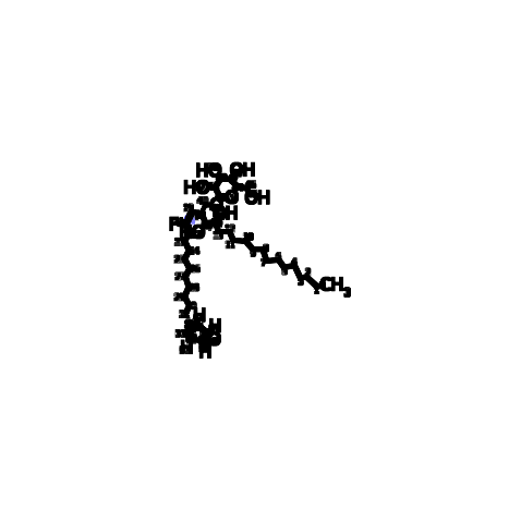 CCCCCCCCCCCCCC[C@@H](O)[C@@H](O)[C@@H](/C=C(/F)CCCCCCCCCC[C@H]1C[C@@H]2C[C@H]1[C@H]1O[C@@H]21)COC1OC(CO)C(O)C(O)C1O